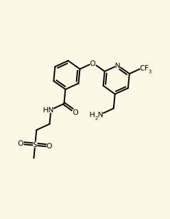 CS(=O)(=O)CCNC(=O)c1cccc(Oc2cc(CN)cc(C(F)(F)F)n2)c1